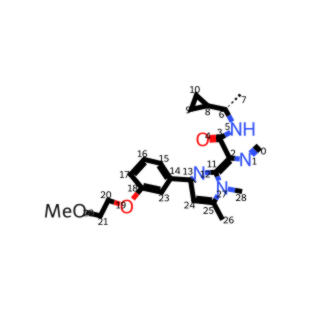 C=N/C(C(=O)N[C@@H](C)C1CC1)=C1/N=C(c2cccc(OCCOC)c2)C=C(C)N1C